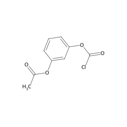 CC(=O)Oc1cccc(OC(=O)Cl)c1